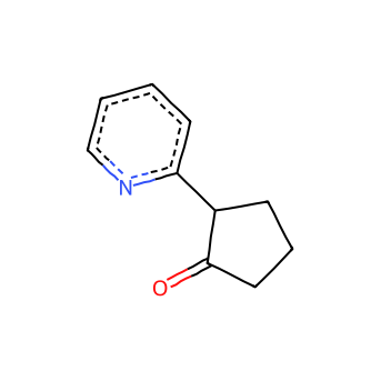 O=C1CCCC1c1ccccn1